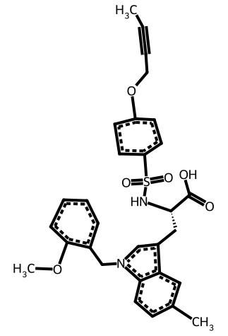 CC#CCOc1ccc(S(=O)(=O)N[C@@H](Cc2cn(Cc3ccccc3OC)c3ccc(C)cc23)C(=O)O)cc1